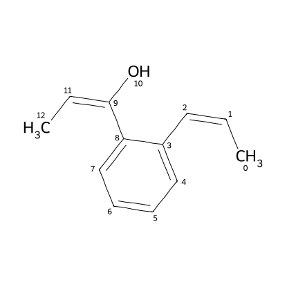 C/C=C\c1ccccc1/C(O)=C\C